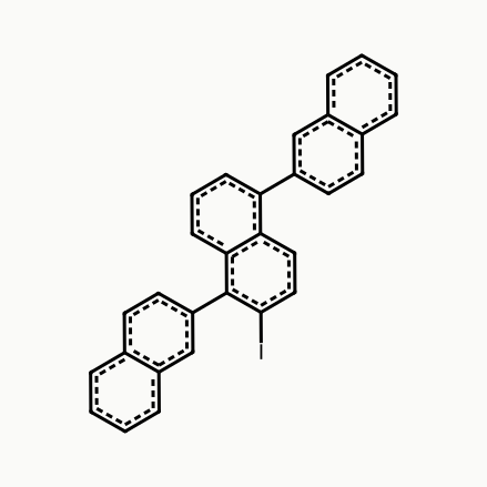 Ic1ccc2c(-c3ccc4ccccc4c3)cccc2c1-c1ccc2ccccc2c1